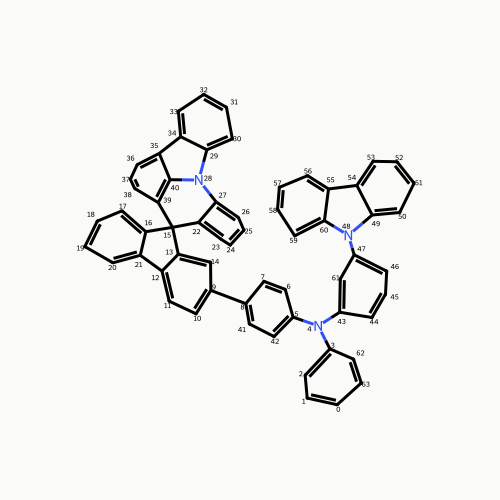 c1ccc(N(c2ccc(-c3ccc4c(c3)C3(c5ccccc5-4)c4ccccc4-n4c5ccccc5c5cccc3c54)cc2)c2cccc(-n3c4ccccc4c4ccccc43)c2)cc1